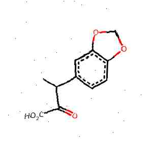 CC(C(=O)C(=O)O)c1ccc2c(c1)OCO2